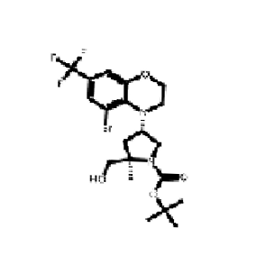 CC(C)(C)OC(=O)N1C[C@@H](N2CCOc3cc(C(F)(F)F)cc(Br)c32)C[C@]1(C)CO